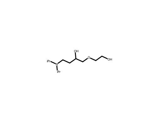 CC(C)N(CCC(O)COCCO)C(C)C